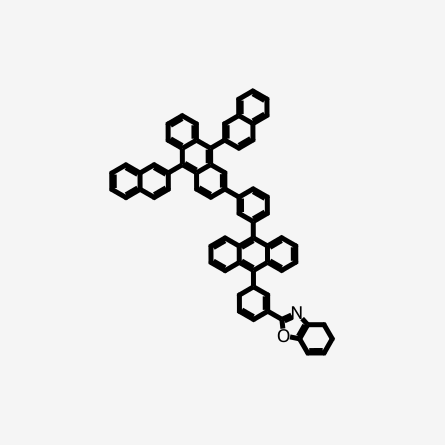 C1=Cc2oc(C3=CC(c4c5ccccc5c(-c5cccc(-c6ccc7c(-c8ccc9ccccc9c8)c8ccccc8c(-c8ccc9ccccc9c8)c7c6)c5)c5ccccc45)CC=C3)nc2CC1